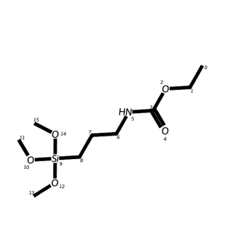 CCOC(=O)NCCC[Si](OC)(OC)OC